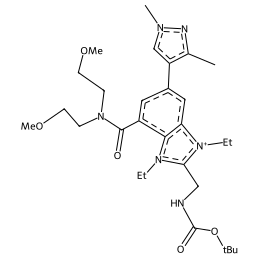 CCn1c(CNC(=O)OC(C)(C)C)[n+](CC)c2cc(-c3cn(C)nc3C)cc(C(=O)N(CCOC)CCOC)c21